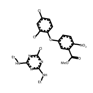 CCNc1nc(Cl)nc(NCC)n1.COC(=O)c1cc(Oc2ccc(Cl)cc2Cl)ccc1[N+](=O)[O-]